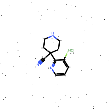 Cl.N#CC1(c2ncccc2F)CCNCC1